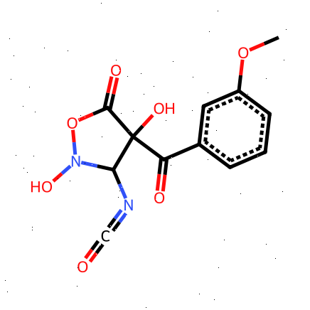 COc1cccc(C(=O)C2(O)C(=O)ON(O)C2N=C=O)c1